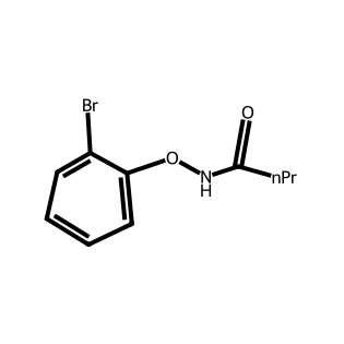 CCCC(=O)NOc1ccccc1Br